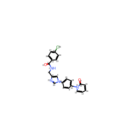 O=C(NCc1cn(-c2ccc(-n3ccccc3=O)cc2)cn1)c1ccc(Cl)cc1